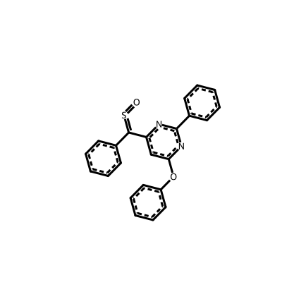 O=S=C(c1ccccc1)c1cc(Oc2ccccc2)nc(-c2ccccc2)n1